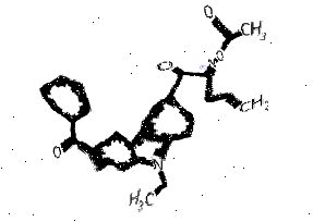 C=CC/C(=N\OC(C)=O)C(=O)c1ccc2c(c1)c1cc(C(=O)c3ccccc3)ccc1n2CC